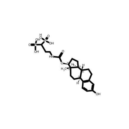 C[C@]12CC[C@@H]3c4ccc(O)cc4CC[C@H]3[C@@H]1CC[C@@H]2OC(=O)NCCC(P(=O)(O)O)P(=O)(O)O